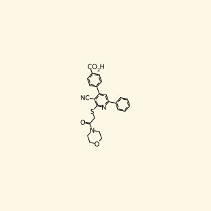 N#Cc1c(-c2ccc(C(=O)O)cc2)cc(-c2ccccc2)nc1SCC(=O)N1CCOCC1